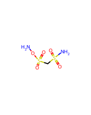 NOS(=O)(=O)CS(N)(=O)=O